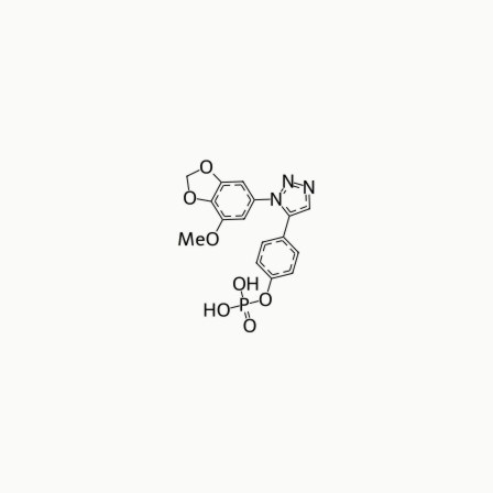 COc1cc(-n2nncc2-c2ccc(OP(=O)(O)O)cc2)cc2c1OCO2